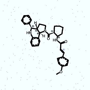 COc1ccc(/C=C/C(=O)N[C@@H]2CCCC[C@@H]2C(=O)N2CC[C@H]3[C@H](c4ccccc4)Nc4ccccc4[C@@H]32)cc1